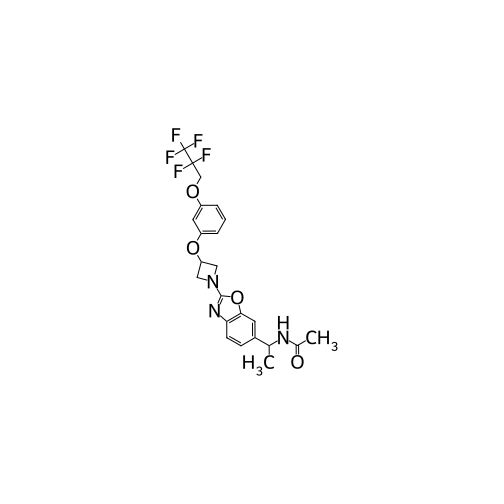 CC(=O)NC(C)c1ccc2nc(N3CC(Oc4cccc(OCC(F)(F)C(F)(F)F)c4)C3)oc2c1